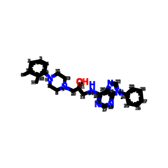 Cc1cccc(N2CCN(CC(O)CNc3ncnc4c3ncn4-c3ccccc3)CC2)c1C